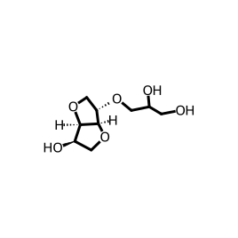 OCC(O)CO[C@H]1CO[C@H]2[C@@H]1OC[C@H]2O